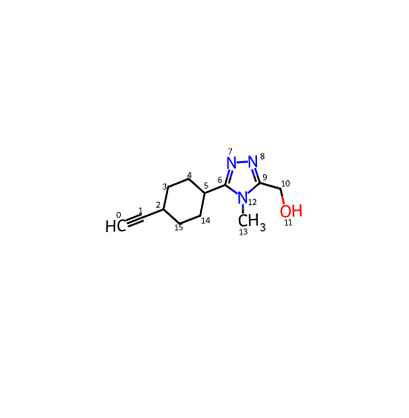 C#CC1CCC(c2nnc(CO)n2C)CC1